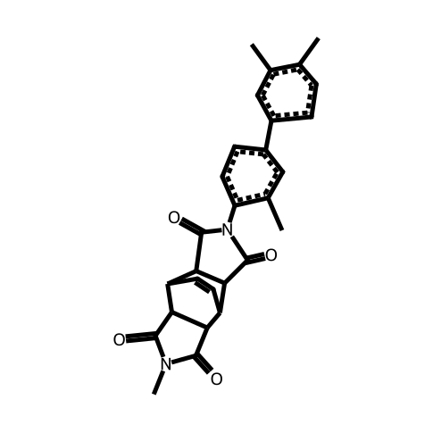 Cc1ccc(-c2ccc(N3C(=O)C4C5C=CC(C6C(=O)N(C)C(=O)C56)C4C3=O)c(C)c2)cc1C